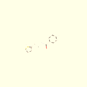 CCCc1ccc(C(=O)NCCc2cccs2)cc1